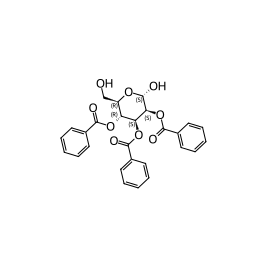 O=C(O[C@@H]1[C@H](OC(=O)c2ccccc2)[C@@H](O)O[C@H](CO)[C@H]1OC(=O)c1ccccc1)c1ccccc1